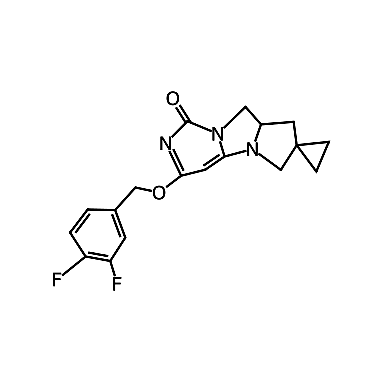 O=c1nc(OCc2ccc(F)c(F)c2)cc2n1CC1CC3(CC3)CN21